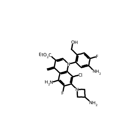 C=C1C(C(=O)OCC)=CN(c2cc(N)c(F)cc2CO)c2c(Cl)c(N3CC(N)C3)c(F)c(N)c21